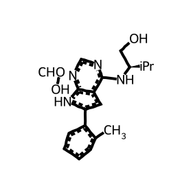 Cc1ccccc1-c1cc2c(N[C@@H](CO)C(C)C)ncnc2[nH]1.O=CO